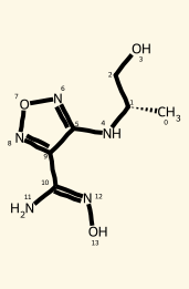 C[C@@H](CO)Nc1nonc1/C(N)=N/O